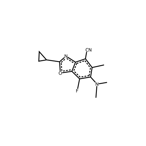 Cc1c(N(C)C)c(F)c2oc(C3CC3)nc2c1C#N